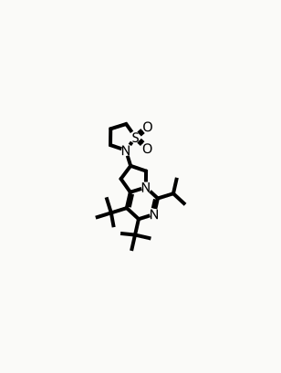 CC(C)C1=NC(C(C)(C)C)C(C(C)(C)C)=C2CC(N3CCCS3(=O)=O)CN12